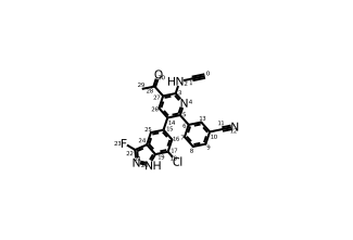 C#CNc1nc(-c2cccc(C#N)c2)c(-c2cc(Cl)c3[nH]nc(F)c3c2)cc1C(C)=O